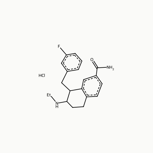 CCNC1CCc2ccc(C(N)=O)cc2C1Cc1cccc(F)c1.Cl